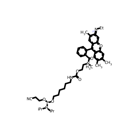 CC/N=c1\cc2oc3cc(C)c(C)cc3c(-c3ccccc3C(=O)N(C)CCOC(=O)NCCCCCCOP(OCCC#N)N(C(C)C)C(C)C)c-2cc1C